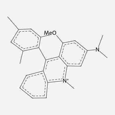 COc1cc(N(C)C)cc2c1c(-c1c(C)cc(C)cc1C)c1ccccc1[n+]2C